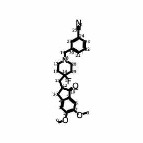 COc1cc2c(cc1OC)C(=O)C(CC1(F)CCN(Cc3cccc(C#N)c3)CC1)C2